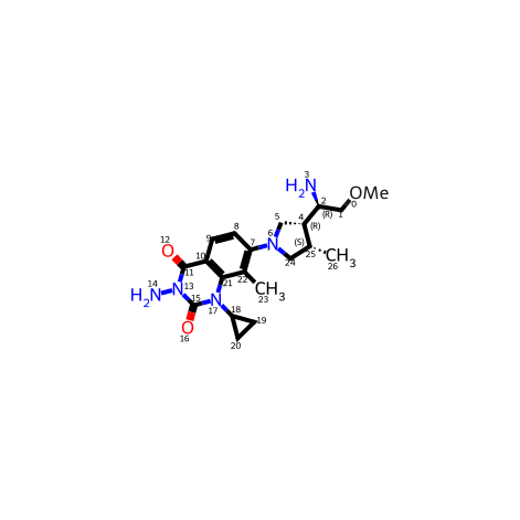 COC[C@H](N)[C@H]1CN(c2ccc3c(=O)n(N)c(=O)n(C4CC4)c3c2C)C[C@H]1C